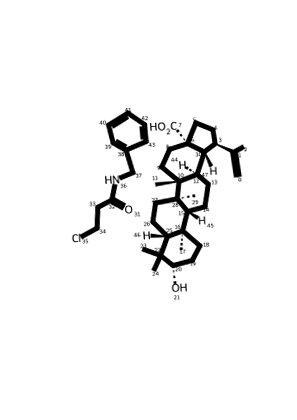 C=C(C)[C@@H]1CC[C@]2(C(=O)O)CC[C@]3(C)[C@H](CC[C@@H]4[C@@]5(C)CC[C@H](O)C(C)(C)[C@@H]5CC[C@]43C)[C@@H]12.O=C(CCCl)NCc1ccccc1